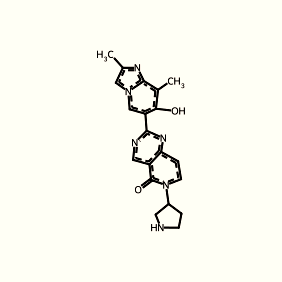 Cc1cn2cc(-c3ncc4c(=O)n(C5CCNC5)ccc4n3)c(O)c(C)c2n1